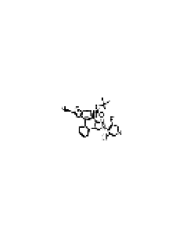 CC(C)(C)OC(=O)N1Cc2sc(C#N)cc2[C@H](c2ccccc2-c2cn(-c3c(F)cncc3Cl)nc2C(F)(F)F)C1